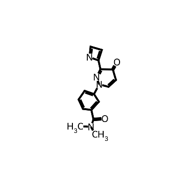 CN(C)C(=O)c1cccc(-n2ccc(=O)c(C3=CC=N3)n2)c1